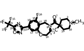 CN1CCC(C)(C(=O)N2CCOc3cc(-c4noc(C(F)(F)F)n4)cc(F)c3C2)CC1